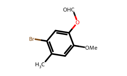 COc1cc(C)c(Br)cc1OC=O